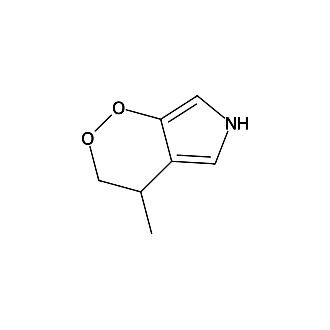 CC1COOc2c[nH]cc21